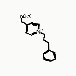 CCCCCCCCCCCc1cc[n+](CCCc2ccccc2)cc1